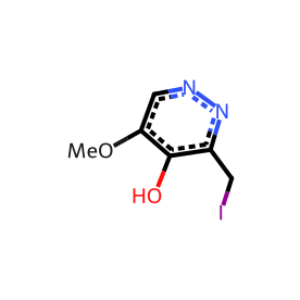 COc1cnnc(CI)c1O